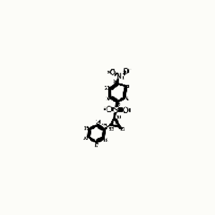 O=[N+]([O-])c1ccc(S(=O)(=O)C2C[C@H]2c2ccccc2)cc1